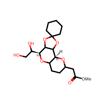 COC(=O)CC1CCC2O[C@@H](C(O)CO)C3OC4(CCCCC4)OC3[C@H]2O1